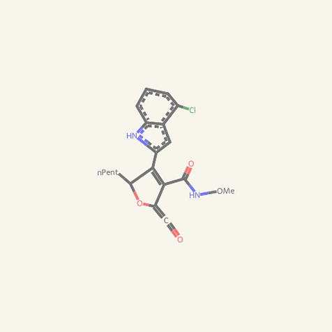 CCCCCC1OC(=C=O)C(C(=O)NOC)=C1c1cc2c(Cl)cccc2[nH]1